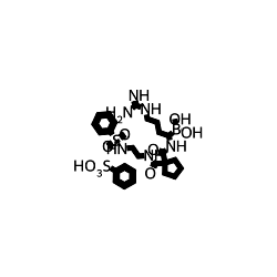 N=C(N)NCCCC(NC(=O)C1(C(=O)NCCNS(=O)(=O)c2ccccc2)CCCC1)B(O)O.O=S(=O)(O)c1ccccc1